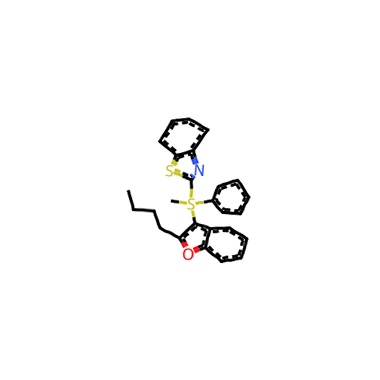 CCCCc1oc2ccccc2c1S(C)(c1ccccc1)c1nc2ccccc2s1